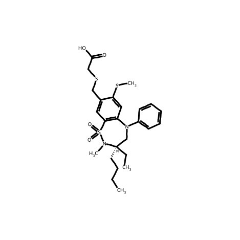 CCCC[C@@]1(CC)CN(c2ccccc2)c2cc(SC)c(CSCC(=O)O)cc2S(=O)(=O)N1C